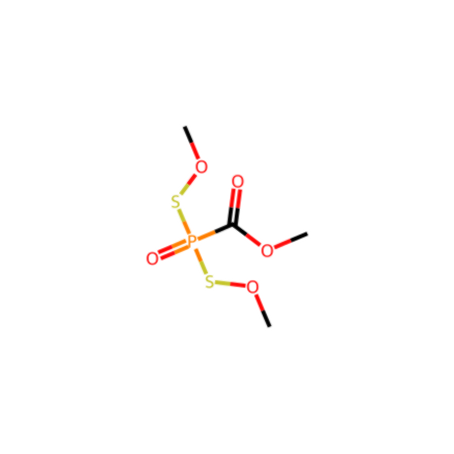 COSP(=O)(SOC)C(=O)OC